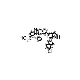 O=C(O)c1ccc2nc(CN3CC=C(c4cc5cc[nH]c5c(OCc5ccc(Cl)cc5F)n4)CC3)n(C[C@@H]3CCO3)c2c1